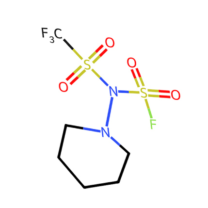 O=S(=O)(F)N(N1CCCCC1)S(=O)(=O)C(F)(F)F